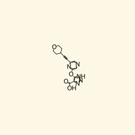 O=C(O)c1nn[nH]c1Oc1cncc(C#CC2CCOCC2)n1